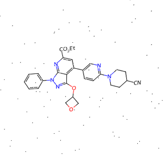 CCOC(=O)c1cc(-c2ccc(N3CCC(C#N)CC3)nc2)c2c(OC3COC3)nn(-c3ccccc3)c2n1